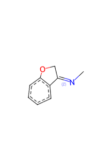 C/N=C1\COc2ccccc21